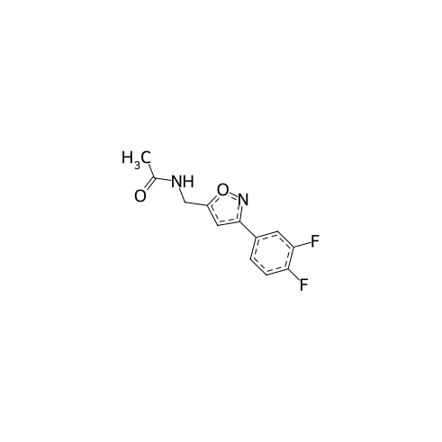 CC(=O)NCc1cc(-c2ccc(F)c(F)c2)no1